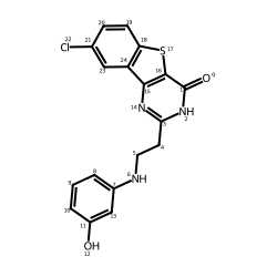 O=c1[nH]c(CCNc2cccc(O)c2)nc2c1sc1ccc(Cl)cc12